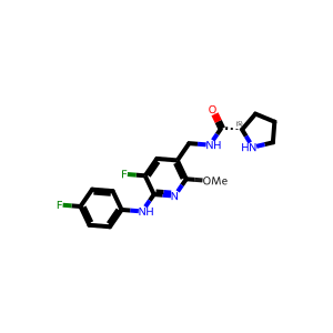 COc1nc(Nc2ccc(F)cc2)c(F)cc1CNC(=O)[C@@H]1CCCN1